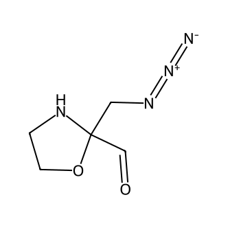 [N-]=[N+]=NCC1(C=O)NCCO1